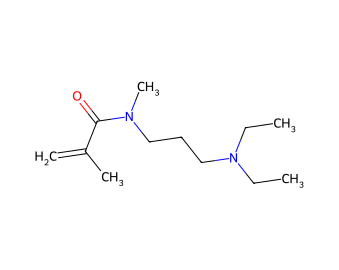 C=C(C)C(=O)N(C)CCCN(CC)CC